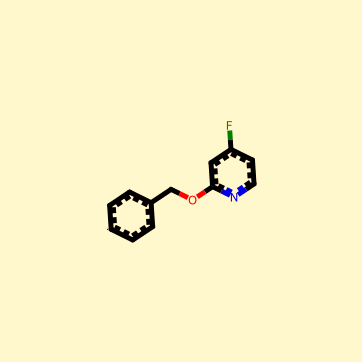 Fc1ccnc(OCc2cc[c]cc2)c1